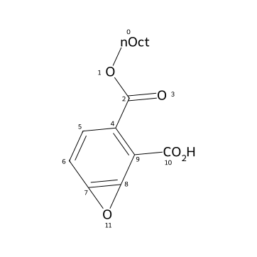 CCCCCCCCOC(=O)c1ccc2c(c1C(=O)O)O2